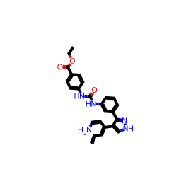 C=C/C=C(\C=C/N)c1c[nH]nc1-c1cccc(NC(=O)Nc2ccc(C(=O)OCC)cc2)c1